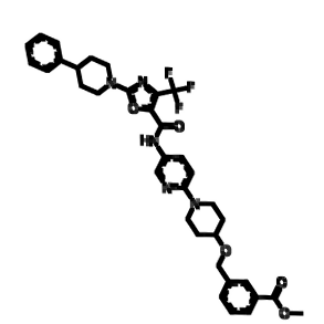 COC(=O)c1cccc(COC2CCN(c3ccc(NC(=O)c4oc(N5CCC(c6ccccc6)CC5)nc4C(F)(F)F)cn3)CC2)c1